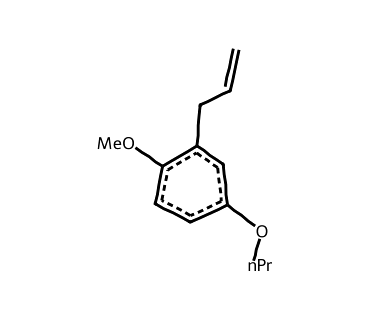 C=CCc1cc(OCCC)ccc1OC